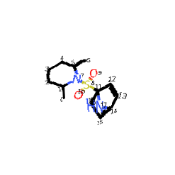 CC1CCCC(C)N1S(=O)(=O)C12C=CC(=CC1)N2